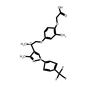 Cc1cc(SC[C@H](C)c2cn(-c3ccc(C(F)(F)F)cc3)nc2C)ccc1OCC(=O)O